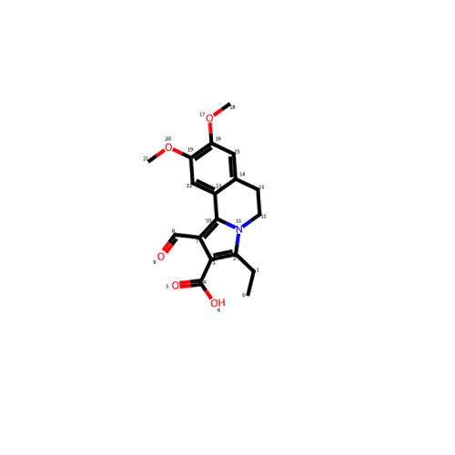 CCc1c(C(=O)O)c(C=O)c2n1CCc1cc(OC)c(OC)cc1-2